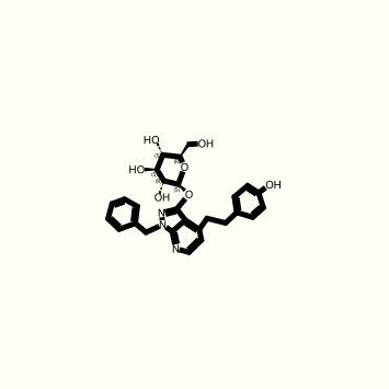 OC[C@H]1O[C@@H](Oc2nn(Cc3ccccc3)c3nccc(CCc4ccc(O)cc4)c23)[C@H](O)[C@@H](O)[C@@H]1O